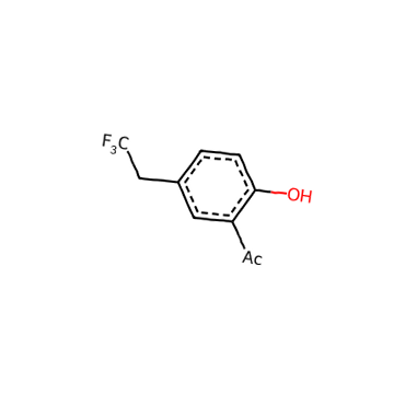 CC(=O)c1cc(CC(F)(F)F)ccc1O